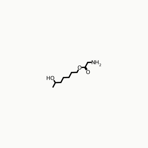 CC(O)CCCCCOC(=O)CN